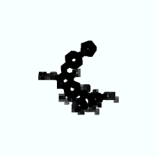 COc1nc2ccc(C(O)(c3sc(C)nc3C)c3cnnn3C)cc2c(Cl)c1Cc1ccc(-n2cccc2)cc1